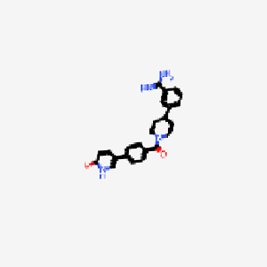 N=C(N)c1cccc(C2CCN(C(=O)c3ccc(-c4ccc(=O)[nH]c4)cc3)CC2)c1